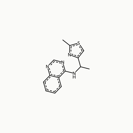 Cc1nc(C(C)Nc2ncnc3ccccc23)cs1